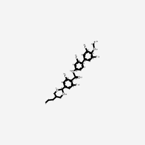 CCCC1COC(c2cc(F)c(C(=O)Oc3ccc(-c4cc(F)c(OCF)c(F)c4)c(F)c3)c(F)c2)OC1